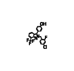 Oc1ccc(-c2c3cccc(C(F)(F)F)c3nn2Cc2ccc(Cl)cc2F)cc1